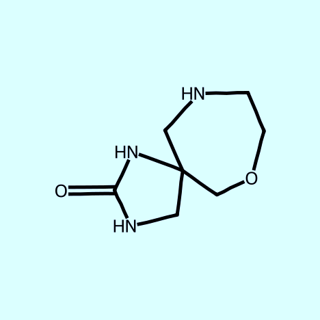 O=C1NCC2(CNCCOC2)N1